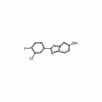 Oc1ccc2nc(-c3ccc(F)c(Cl)c3)sc2c1